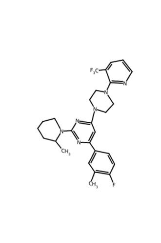 Cc1cc(-c2cc(N3CCN(c4ncccc4C(F)(F)F)CC3)nc(N3CCCCC3C)n2)ccc1F